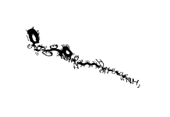 C[C@@H]1CN(C(=O)c2ccccc2)CCN1C(=O)C(=O)c1c[nH]c2c(NC(=O)NCCCCCCNC(=O)NCCOCCOCCN)cccc12